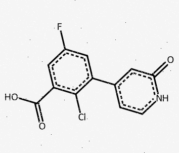 O=C(O)c1cc(F)cc(-c2cc[nH]c(=O)c2)c1Cl